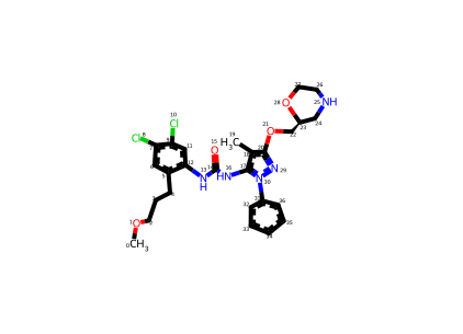 COCCCc1cc(Cl)c(Cl)cc1NC(=O)Nc1c(C)c(OC[C@@H]2CNCCO2)nn1-c1ccccc1